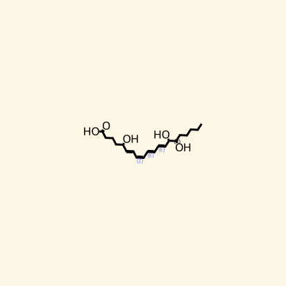 CCCCC[C@@H](O)C(O)/C=C/C=C/C=C\C=CC(O)CCCC(=O)O